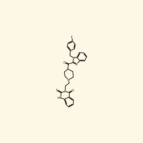 O=C(c1nc2ccccc2n1Cc1ccc(F)cc1)C1CCN(CCn2c(=S)[nH]c3ccccc3c2=O)CC1